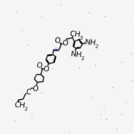 C=CCCCCOC1CCC(C(=O)Oc2ccc(/C=C/C(=O)OCC(C)c3cc(N)cc(N)c3)cc2)CC1